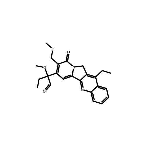 CCc1c2c(nc3ccccc13)-c1cc(C(C=O)(CC)OC)c(COC)c(=O)n1C2